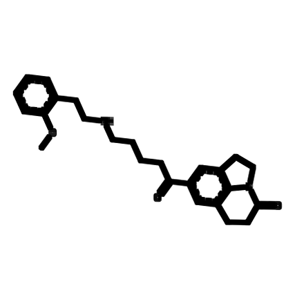 COc1ccccc1CCNCCCCC(=O)c1cc2c3c(c1)CCN3C(=O)CC2